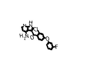 Nc1ccnc2[nH]cc(C(=O)c3ccc(Oc4cccc(F)c4)cc3Cl)c12